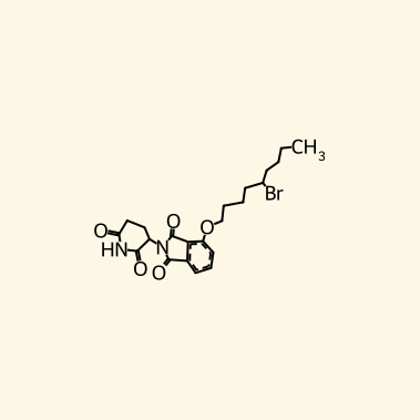 CCCCC(Br)CCCCOc1cccc2c1C(=O)N(C1CCC(=O)NC1=O)C2=O